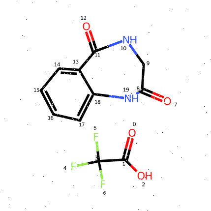 O=C(O)C(F)(F)F.O=C1CNC(=O)c2ccccc2N1